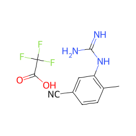 Cc1ccc(C#N)cc1NC(=N)N.O=C(O)C(F)(F)F